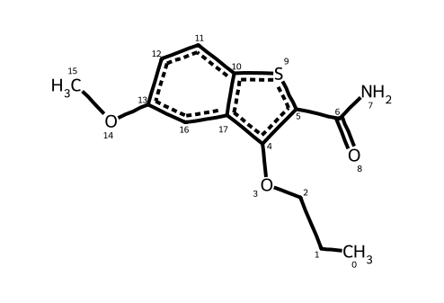 CCCOc1c(C(N)=O)sc2ccc(OC)cc12